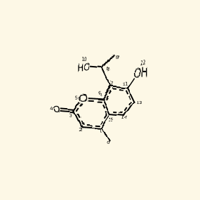 Cc1cc(=O)oc2c(C(C)O)c(O)ccc12